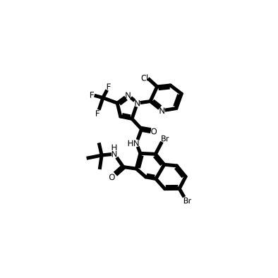 CC(C)(C)NC(=O)c1cc2cc(Br)ccc2c(Br)c1NC(=O)c1cc(C(F)(F)F)nn1-c1ncccc1Cl